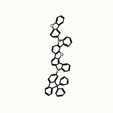 c1ccc(C2(c3ccccc3)c3ccccc3-c3ccc(-n4c5ccccc5c5c6oc7c(ccc8c7c7ccccc7n8-c7ccc8oc9ccccc9c8c7)c6ccc54)cc32)cc1